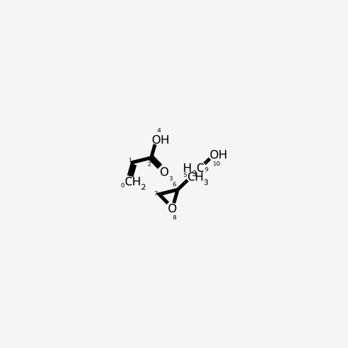 C=CC(=O)O.CC1CO1.CO